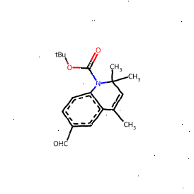 CC1=CC(C)(C)N(C(=O)OC(C)(C)C)c2ccc(C=O)cc21